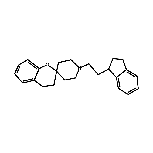 c1ccc2c(c1)CCC1(CCN(CCC3CCc4ccccc43)CC1)O2